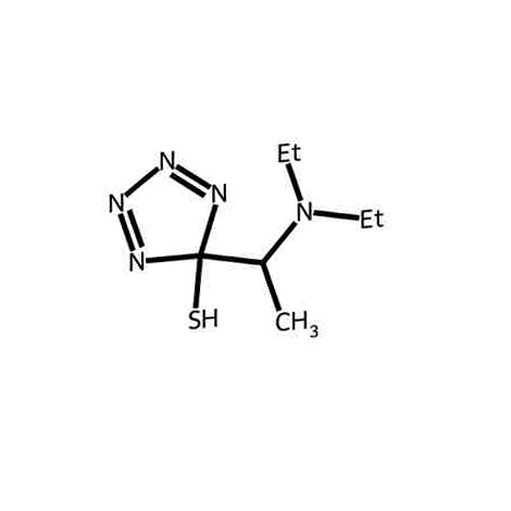 CCN(CC)C(C)C1(S)N=NN=N1